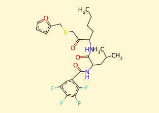 CCCCC(NC(=O)C(CC(C)C)NC(=O)c1cc(F)c(F)c(F)c1F)C(=O)CSCc1ccco1